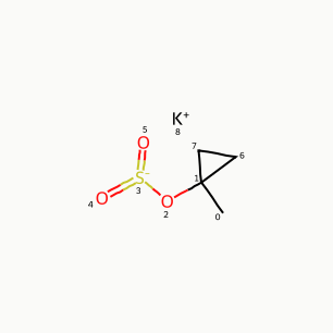 CC1(O[S-](=O)=O)CC1.[K+]